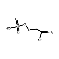 C=C(O)CSOS(=O)(=O)O